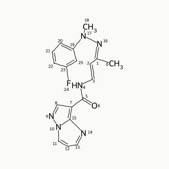 CC(/C=C/NC(=O)c1cnn2cccnc12)=N/N(C)c1cccc(F)c1